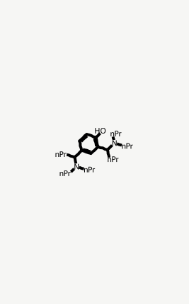 CCCC(c1ccc(O)c(C(CCC)N(CCC)CCC)c1)N(CCC)CCC